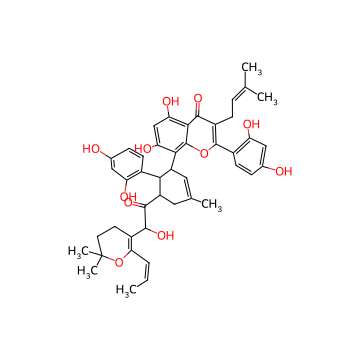 C/C=C\C1=C(C(O)C(=O)C2CC(C)=CC(c3c(O)cc(O)c4c(=O)c(CC=C(C)C)c(-c5ccc(O)cc5O)oc34)C2c2ccc(O)cc2O)CCC(C)(C)O1